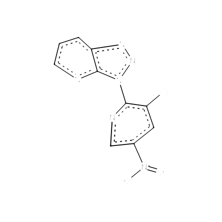 O=[N+]([O-])c1cnc(-n2nnc3cccnc32)c(Cl)c1